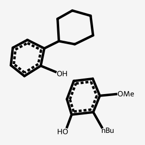 CCCCc1c(O)cccc1OC.Oc1ccccc1C1CCCCC1